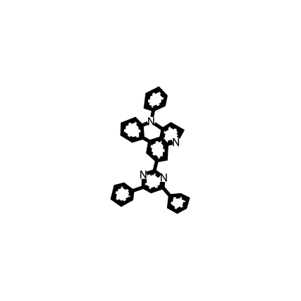 c1ccc(-c2cc(-c3ccccc3)nc(-c3cc4c5c(ccnc5c3)N(c3ccccc3)c3ccccc3-4)n2)cc1